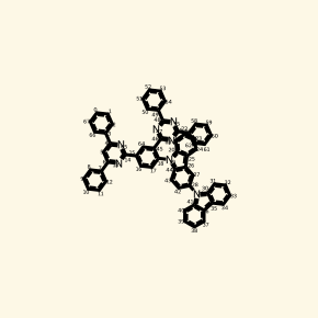 c1ccc(-c2cc(-c3ccccc3)nc(-c3ccc(-n4c5ccccc5c5cc(-n6c7ccccc7c7ccccc76)ccc54)c(-c4nc(-c5ccccc5)nc(-c5ccccc5)n4)c3)n2)cc1